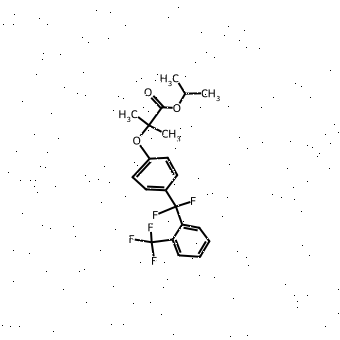 CC(C)OC(=O)C(C)(C)Oc1ccc(C(F)(F)c2ccccc2C(F)(F)F)cc1